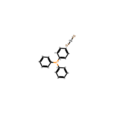 [Br][Ni][Br].c1ccc(P(c2ccccc2)c2ccccc2)cc1